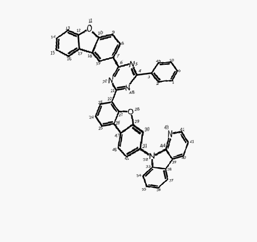 c1ccc(-c2nc(-c3ccc4oc5ccccc5c4c3)nc(-c3cccc4c3oc3cc(-n5c6ccccc6c6cccnc65)ccc34)n2)cc1